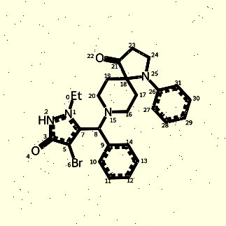 CCn1[nH]c(=O)c(Br)c1C(c1ccccc1)N1CCC2(CC1)C(=O)CCN2c1ccccc1